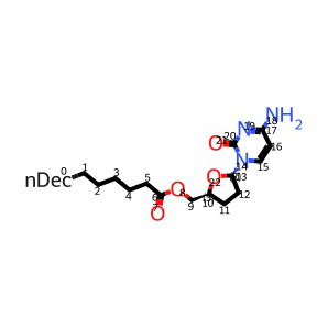 CCCCCCCCCCCCCCCC(=O)OC[C@@H]1CC[C@H](n2ccc(N)nc2=O)O1